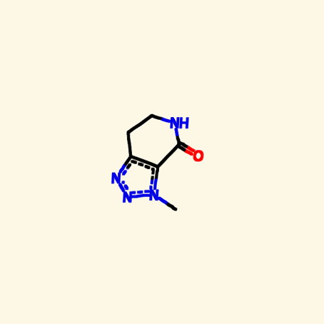 Cn1nnc2c1C(=O)NCC2